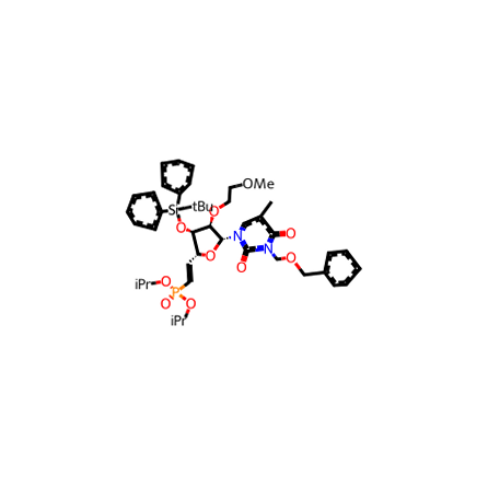 COCCO[C@@H]1[C@H](O[Si](c2ccccc2)(c2ccccc2)C(C)(C)C)[C@@H](/C=C/P(=O)(OC(C)C)OC(C)C)O[C@H]1n1cc(C)c(=O)n(COCc2ccccc2)c1=O